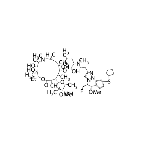 CC[C@H]1OC(=O)[C@H](C)C([C@H]2C[C@@](C)(OC)[C@@H](O)[C@H](C)O2)[C@H](C)[C@@H](O[C@@H]2O[C@H](C)C[C@H](N(C)CCc3cn([C@H](CF)[C@H](OC)c4ccc(SC5CCCC5)cc4)nn3)[C@H]2O)[C@](C)(O)C[C@@H](C)CN(C)[C@H](C)[C@@H](O)[C@]1(C)O